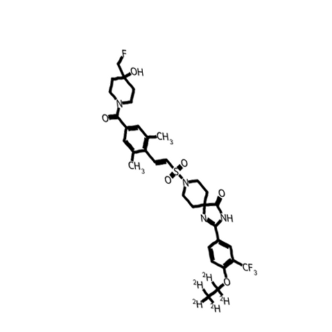 [2H]C([2H])([2H])C([2H])([2H])Oc1ccc(C2=NC3(CCN(S(=O)(=O)/C=C/c4c(C)cc(C(=O)N5CCC(O)(CF)CC5)cc4C)CC3)C(=O)N2)cc1C(F)(F)F